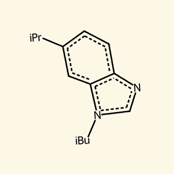 CCC(C)n1cnc2ccc(C(C)C)cc21